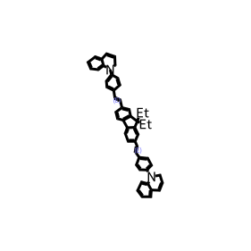 CCC1(CC)c2cc(/C=C/c3ccc(N4CC=Cc5ccccc54)cc3)ccc2-c2ccc(/C=C/c3ccc(N4CC=Cc5ccccc54)cc3)cc21